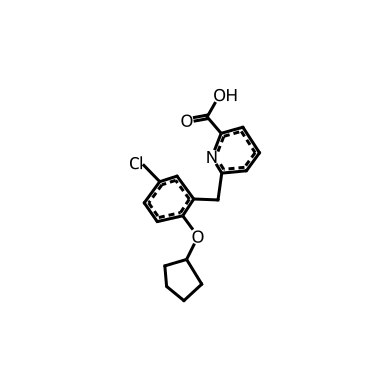 O=C(O)c1cccc(Cc2cc(Cl)ccc2OC2CCCC2)n1